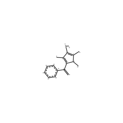 C=C(C1=C(C)C([SiH3])=C(C)C1C)c1ccccc1